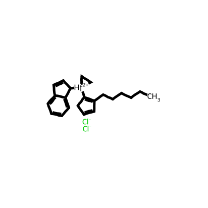 CCCCCCC1=[C]([Hf+2]2([CH]3C=Cc4ccccc43)[CH2][CH2]2)CC=C1.[Cl-].[Cl-]